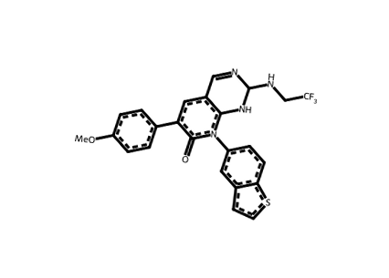 COc1ccc(-c2cc3c(n(-c4ccc5sccc5c4)c2=O)NC(NCC(F)(F)F)N=C3)cc1